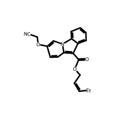 CC/C=C\COC(=O)c1c2ccccc2n2cc(OCC#N)ccc12